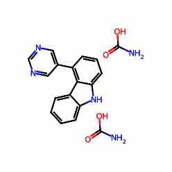 NC(=O)O.NC(=O)O.c1ccc2c(c1)[nH]c1cccc(-c3cncnc3)c12